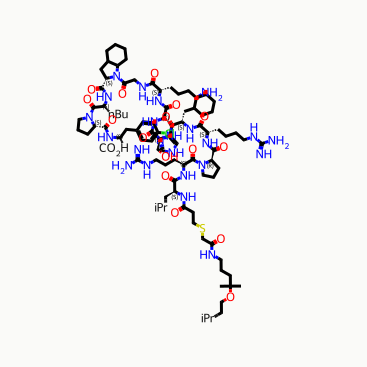 CCCC[C@H](NC(=O)[C@@H]1CC2CCCCC2N1C(=O)CNC(=O)[C@H](CCCCN)NC(=O)[C@H](Cc1c[nH]cn1)NC(=O)[C@H](CO)NC(=O)[C@H](CC1CCCCC1)NC(=O)[C@H](CCCCNC(=N)N)NC(=O)[C@H]1CCCN1C(=O)[C@H](CCCNC(=N)N)NC(=O)[C@H](CC(C)C)NC(=O)CCSCC(=O)NCCCC(C)(C)OCCC(C)C)C(=O)N1CCC[C@H]1C(=O)N[C@@H](Cc1ccc(Cl)cc1)C(=O)O